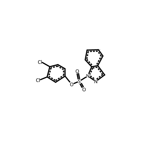 O=S(=O)(Oc1ccc(Cl)c(Cl)c1)n1ncc2c[c]ccc21